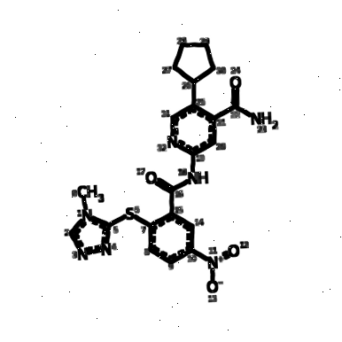 Cn1cnnc1Sc1ccc([N+](=O)[O-])cc1C(=O)Nc1cc(C(N)=O)c(C2CCCC2)cn1